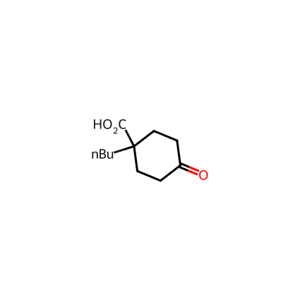 CCCCC1(C(=O)O)CCC(=O)CC1